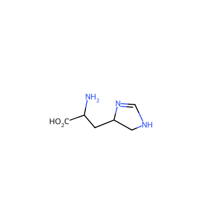 NC(CC1CNC=N1)C(=O)O